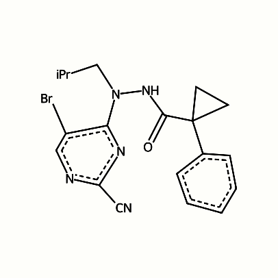 CC(C)CN(NC(=O)C1(c2ccccc2)CC1)c1nc(C#N)ncc1Br